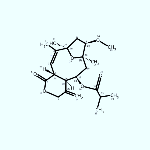 C=C1COC(=O)[C@@H]2/C=C(/C)[C@@]3(O)C[C@@H](OC)[C@@](C)(C[C@@H](OC(=O)C(C)C)[C@@H]12)O3